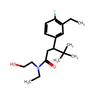 CCc1cc([C](CC(=O)N(CC)CCO)C(C)(C)C)ccc1F